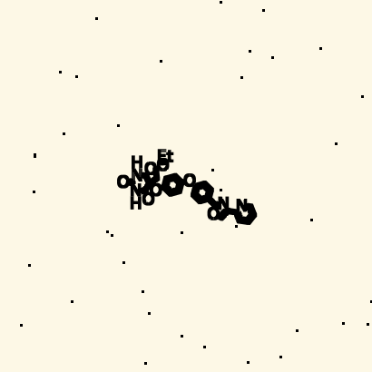 CCOCCC1(Oc2ccc(Oc3ccc(-c4nc(-c5ccccn5)co4)cc3)cc2)C(=O)NC(=O)NC1=O